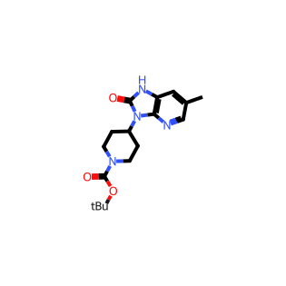 Cc1cnc2c(c1)[nH]c(=O)n2C1CCN(C(=O)OC(C)(C)C)CC1